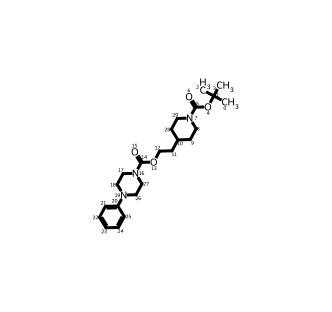 CC(C)(C)OC(=O)N1CCC(CCOC(=O)N2CCN(c3ccccc3)CC2)CC1